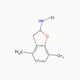 CCNC1Cc2c(C)ccc(C)c2O1